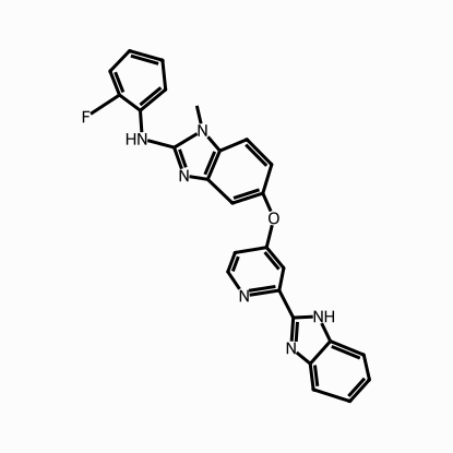 Cn1c(Nc2ccccc2F)nc2cc(Oc3ccnc(-c4nc5ccccc5[nH]4)c3)ccc21